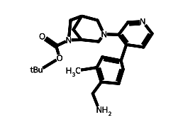 Cc1cc(-c2ccncc2N2CC3CC(C2)N(C(=O)OC(C)(C)C)C3)ccc1CN